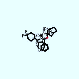 CC(C)N1C(=O)N(C2CCOCC2)CC12CC1CCC(C2)N1CC[C@H](NC(=O)C1CCC(F)(F)CC1)c1ccccc1